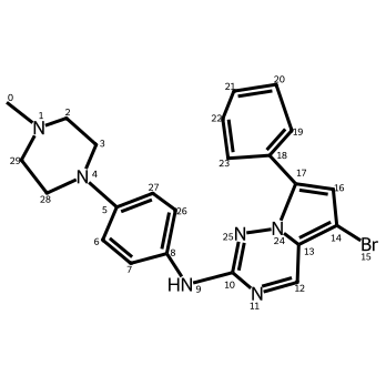 CN1CCN(c2ccc(Nc3ncc4c(Br)cc(-c5ccccc5)n4n3)cc2)CC1